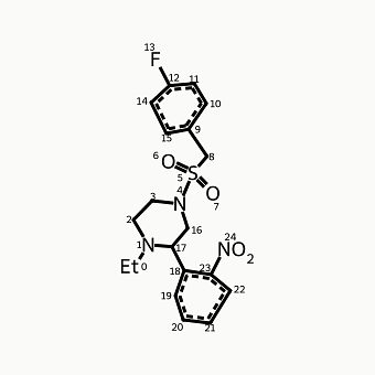 CCN1CCN(S(=O)(=O)Cc2ccc(F)cc2)CC1c1ccccc1[N+](=O)[O-]